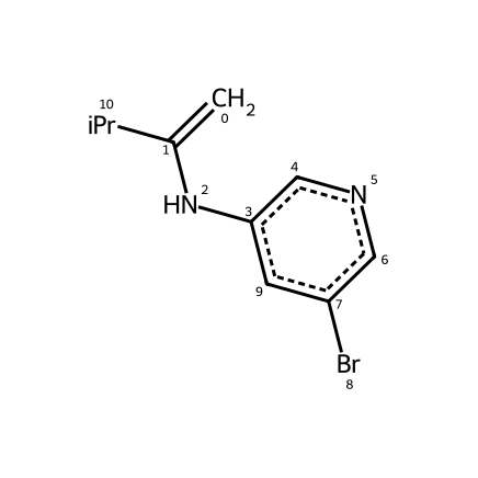 C=C(Nc1cncc(Br)c1)C(C)C